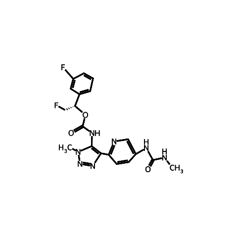 CNC(=O)Nc1ccc(-c2nnn(C)c2NC(=O)O[C@H](CF)c2cccc(F)c2)nc1